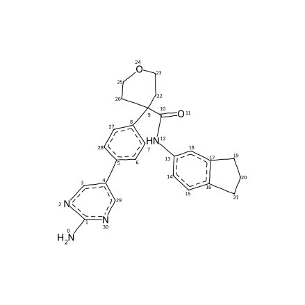 Nc1ncc(-c2ccc(C3(C(=O)Nc4ccc5c(c4)CCC5)CCOCC3)cc2)cn1